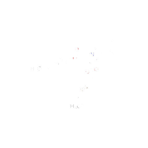 CCCCSSCCOC(=O)CCN(CCC(=O)OCCSSCCCC)CCc1ccccc1